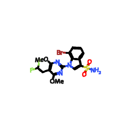 COc1nc(-n2cc(S(N)(=O)=O)c3cccc(Br)c32)nc(OC)c1CC(F)F